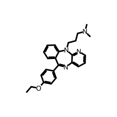 CCOc1ccc(C2=Nc3cccnc3N(CCCN(C)C)c3ccccc32)cc1